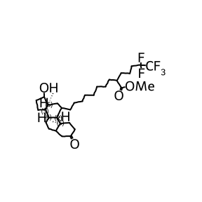 COC(=O)C(CCCCCCCCC1C[C@]2(C)C(O)CC[C@H]2[C@@H]2CCC3CC(=O)CC[C@]3(C)[C@H]12)CCCC(F)(F)C(F)(F)F